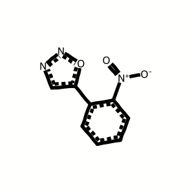 O=[N+]([O-])c1ccccc1-c1cnno1